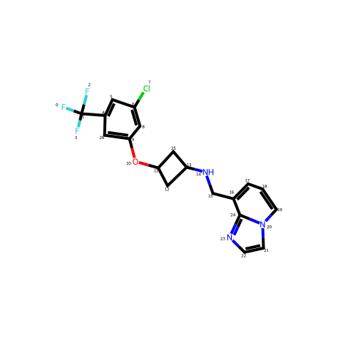 FC(F)(F)c1cc(Cl)cc(OC2CC(NCc3cccn4ccnc34)C2)c1